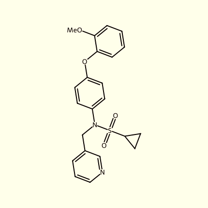 COc1ccccc1Oc1ccc(N(Cc2cccnc2)S(=O)(=O)C2CC2)cc1